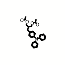 CC(=O)OCC(COC(C)=O)Cc1ccc(N(c2ccccc2)c2ccccc2)cc1